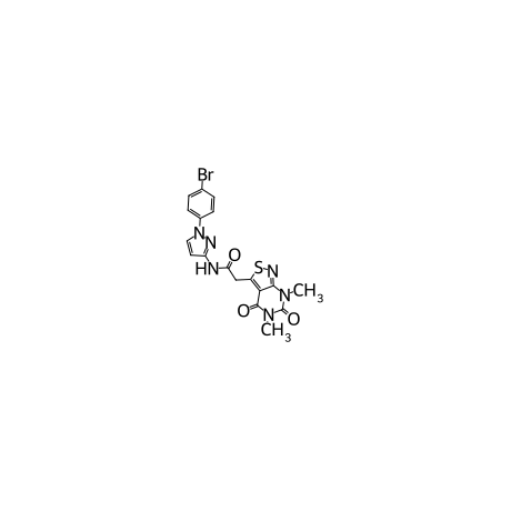 Cn1c(=O)c2c(CC(=O)Nc3ccn(-c4ccc(Br)cc4)n3)snc2n(C)c1=O